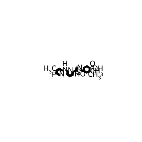 Cc1cc(Nc2cccc(-c3cnc([C@@]4(O)CC[C@H](C(=O)O)C(C)(C)C4)s3)n2)ncc1F